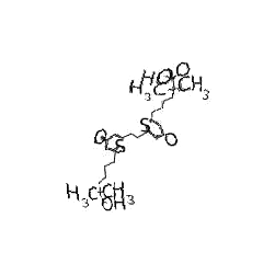 CC(C)(CO)CCCCc1cc(=O)cc(CCc2cc(=O)cc(CCCCC(C)(C)C(=O)O)s2)s1